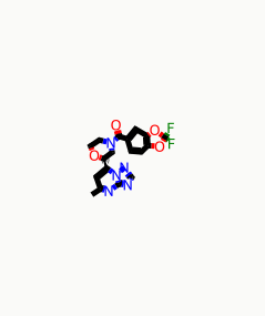 Cc1cc([C@@H]2CN(C(=O)c3ccc4c(c3)OC(F)(F)O4)CCO2)n2ncnc2n1